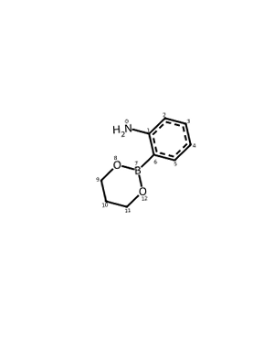 Nc1ccccc1B1OCCCO1